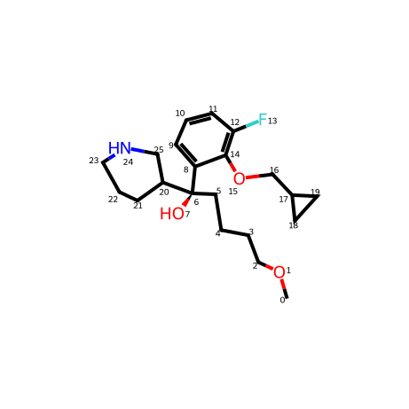 COCCCC[C@@](O)(c1cccc(F)c1OCC1CC1)C1CCCNC1